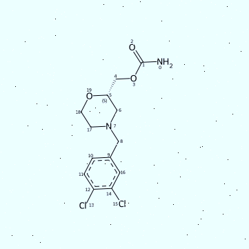 NC(=O)OC[C@@H]1CN(Cc2ccc(Cl)c(Cl)c2)CCO1